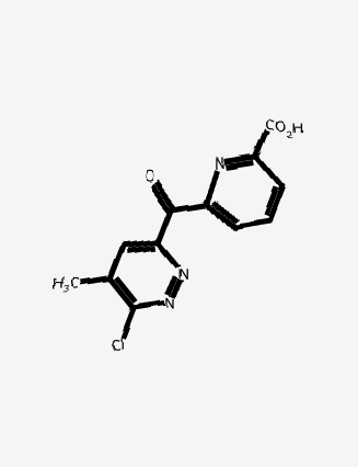 Cc1cc(C(=O)c2cccc(C(=O)O)n2)nnc1Cl